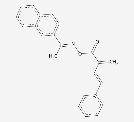 C=C(C=Cc1ccccc1)C(=O)ON=C(C)c1ccc2ccccc2c1